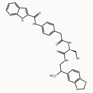 CC(C)C[C@H](NC(=O)Cc1ccc(NC(=O)c2cc3ccccc3[nH]2)cc1)C(=O)NCC(C(=O)O)c1ccc2c(c1)OCO2